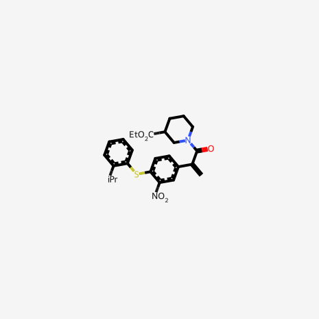 C=C(C(=O)N1CCCC(C(=O)OCC)C1)c1ccc(Sc2ccccc2C(C)C)c([N+](=O)[O-])c1